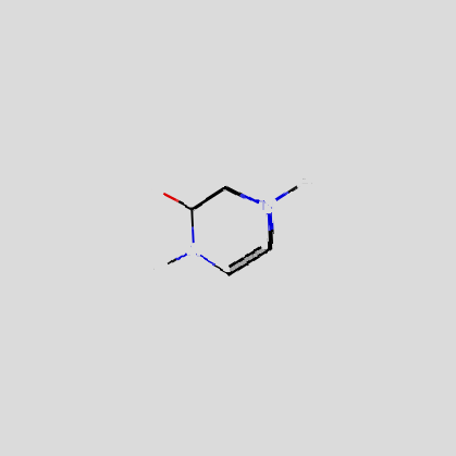 CC(=O)N1C=CN(C(C)=O)C(O)C1